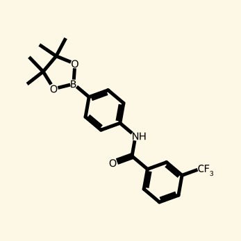 CC1(C)OB(c2ccc(NC(=O)c3cccc(C(F)(F)F)c3)cc2)OC1(C)C